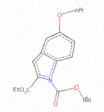 CCCOc1ccc2c(c1)cc(C(=O)OCC)n2C(=O)OC(C)(C)C